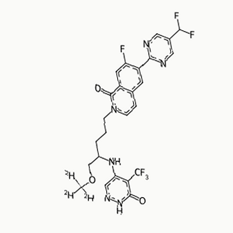 [2H]C([2H])([2H])OCC(CCCn1ccc2cc(-c3ncc(C(F)F)cn3)c(F)cc2c1=O)Nc1cn[nH]c(=O)c1C(F)(F)F